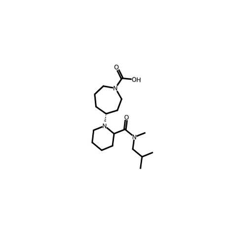 CC(C)CN(C)C(=O)C1CCCCN1[C@@H]1CCCN(C(=O)O)CC1